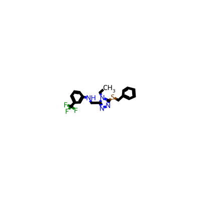 CCn1c(CNc2cccc(C(F)(F)F)c2)nnc1SCc1ccccc1